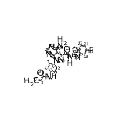 C=CC(=O)NC1CCC(n2nc(C(=O)Nc3nc4cc(F)ccc4o3)c3c(N)ncnc32)CC1